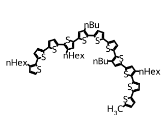 CCCCCCc1ccsc1-c1ccc(-c2ccc(-c3sc(-c4cc(CCCC)c(-c5ccc(-c6ccc(-c7sc(-c8cc(CCCCCC)c(-c9ccc(-c%10ccc(C)s%10)s9)s8)cc7CCCC)s6)s5)s4)cc3CCCCCC)s2)s1